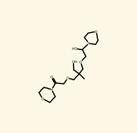 CC(CO)(COCC(=O)N1CCOCC1)COCC(O)N1CCOCC1